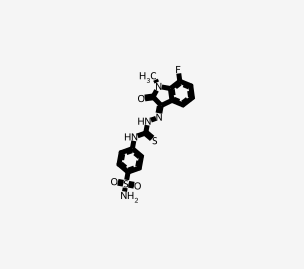 CN1C(=O)C(=NNC(=S)Nc2ccc(S(N)(=O)=O)cc2)c2cccc(F)c21